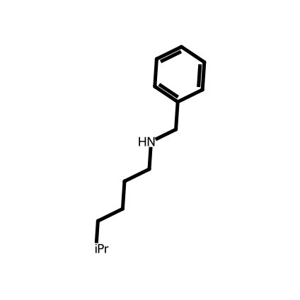 CC(C)CCCCNCc1ccccc1